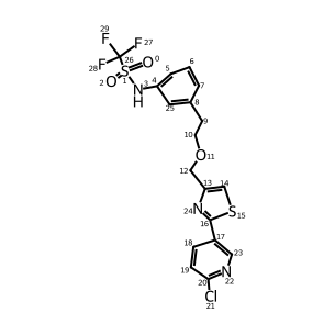 O=S(=O)(Nc1cccc(CCOCc2csc(-c3ccc(Cl)nc3)n2)c1)C(F)(F)F